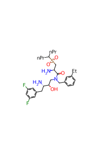 CCCC(CCC)S(=O)(=O)C[C@H](N)C(=O)N(Cc1cccc(CC)c1)C[C@@H](O)[C@@H](N)Cc1cc(F)cc(F)c1